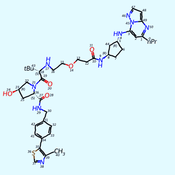 CCCc1cc(N[C@@H]2CC[C@@H](NC(=O)CCOCCN[C@H](C(=O)N3C[C@H](O)C[C@H]3C(=O)NCc3ccc(-c4scnc4C)cc3)C(C)(C)C)C2)n2nccc2n1